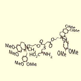 COc1ccc(C[C@@H]2c3cc(OC)c(OC)cc3CC[N@@+]2(C)CCCOC(=O)CC(SC[C@@H](N)C(=O)O)C(=O)OCCC[N@+]2(C)CCc3cc(OC)c(OC)cc3[C@H]2Cc2ccc(OC)c(OC)c2)cc1OC